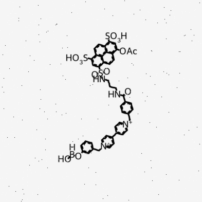 CC(=O)Oc1cc(S(=O)(=O)O)c2ccc3c(S(=O)(=O)O)cc(S(=O)(=O)NCCCNC(=O)c4ccc(C[n+]5ccc(-c6cc[n+](Cc7cccc(OBO)c7)cc6)cc5)cc4)c4ccc1c2c34